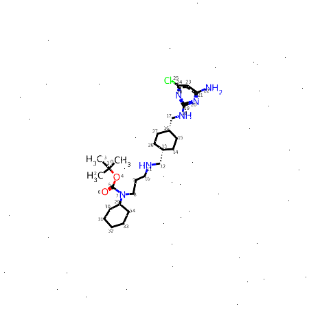 CC(C)(C)OC(=O)N(CCCNC[C@H]1CC[C@@H](CNc2nc(N)cc(Cl)n2)CC1)C1CCCCC1